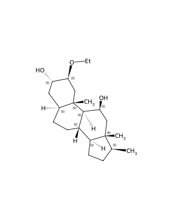 CCO[C@H]1C[C@@]2(C)[C@@H](CC[C@@H]3[C@@H]2[C@@H](O)C[C@]2(C)[C@@H](C)CC[C@@H]32)C[C@@H]1O